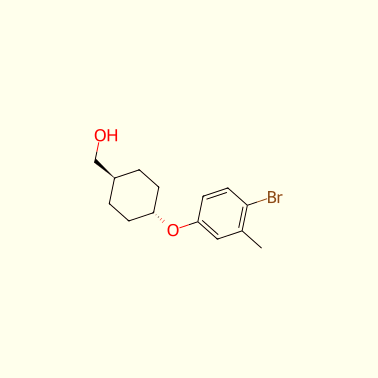 Cc1cc(O[C@H]2CC[C@H](CO)CC2)ccc1Br